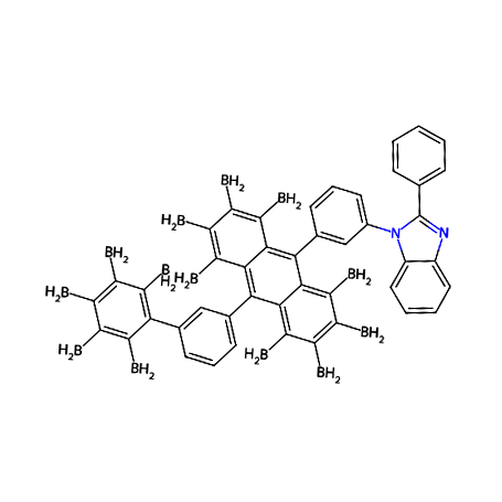 Bc1c(B)c(B)c(-c2cccc(-c3c4c(B)c(B)c(B)c(B)c4c(-c4cccc(-n5c(-c6ccccc6)nc6ccccc65)c4)c4c(B)c(B)c(B)c(B)c34)c2)c(B)c1B